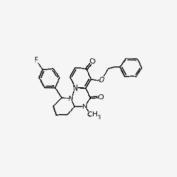 CN1C(=O)c2c(OCc3ccccc3)c(=O)ccn2N2C(c3ccc(F)cc3)CCCC12